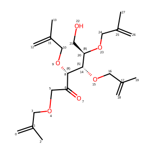 C=C(C)COCC(=O)[C@H](OCC(=C)C)[C@@H](OCC(=C)C)[C@@H](CO)OCC(=C)C